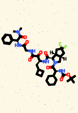 CN(C)C(=O)[C@@H](NC(=O)CNC(=O)C(=O)[C@H](CC1CCC1)NC(=O)[C@@H]1[C@H]2CC(F)(F)C[C@H]2CN1C(=O)[C@@H](NC(=O)OC(C)(C)C)C1CCCCC1)c1ccccc1